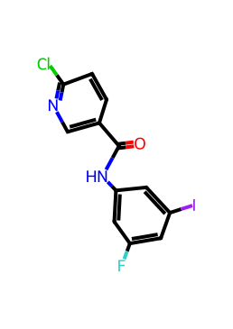 O=C(Nc1cc(F)cc(I)c1)c1ccc(Cl)nc1